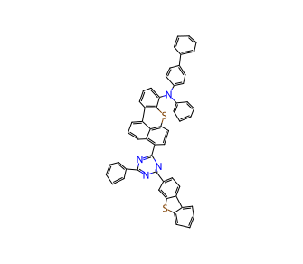 c1ccc(-c2ccc(N(c3ccccc3)c3cccc4c3Sc3ccc(-c5nc(-c6ccccc6)nc(-c6ccc7c(c6)sc6ccccc67)n5)c5cccc-4c35)cc2)cc1